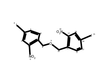 O=[N+]([O-])c1cc(I)ccc1COCc1ccc(I)cc1[N+](=O)[O-]